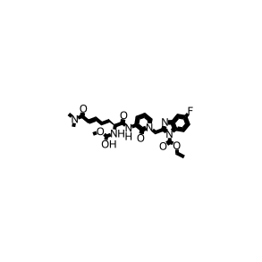 CCOC(=O)n1c(Cn2cccc(NC(=O)[C@H](CC/C=C/C(=O)N(C)C)NC(O)OC)c2=O)nc2cc(F)ccc21